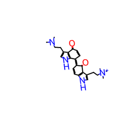 CN(C)CCc1c[nH]c2c1C(=O)C=CC2=C1C=Cc2[nH]cc(CC[N+](C)(C)C)c2C1=O